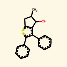 CC1Cc2sc(-c3ccccc3)c(-c3ccccc3)c2C1O